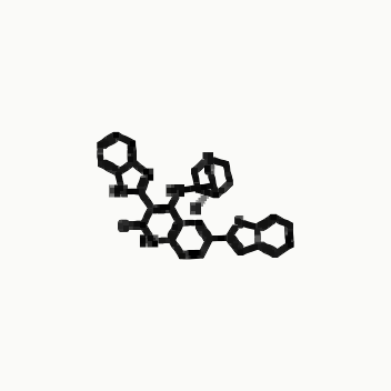 O=c1[nH]c2ccc(-c3cc4ccccc4s3)cc2c(N[C@H]2CN3CCC2CC3)c1-c1nc2ccccc2[nH]1